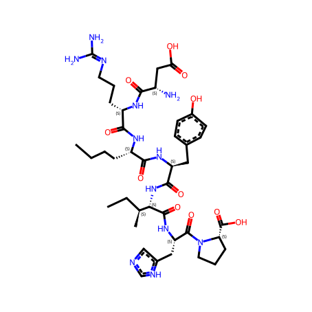 CCCC[C@H](NC(=O)[C@H](CCCN=C(N)N)NC(=O)[C@@H](N)CC(=O)O)C(=O)N[C@@H](Cc1ccc(O)cc1)C(=O)N[C@H](C(=O)N[C@@H](Cc1cnc[nH]1)C(=O)N1CCC[C@H]1C(=O)O)[C@@H](C)CC